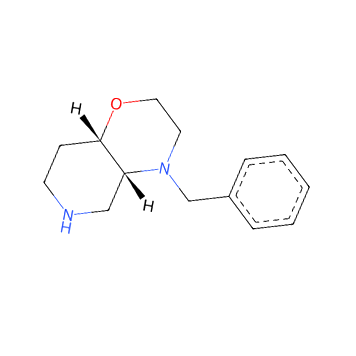 c1ccc(CN2CCO[C@H]3CCNC[C@H]32)cc1